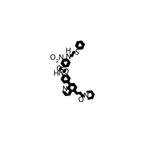 O=C(CCc1ccc(-c2ccc(NS(=O)(=O)c3ccc(NCCSc4ccccc4)c([N+](=O)[O-])c3)cc2)c2ncccc12)N1CCCCC1